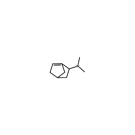 CN(C)C1CC2CC=C1C2